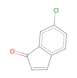 O=C1C=Cc2ccc(Cl)cc21